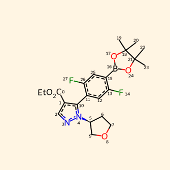 CCOC(=O)c1cnn([C@H]2CCOC2)c1-c1cc(F)c(B2OC(C)(C)C(C)(C)O2)cc1F